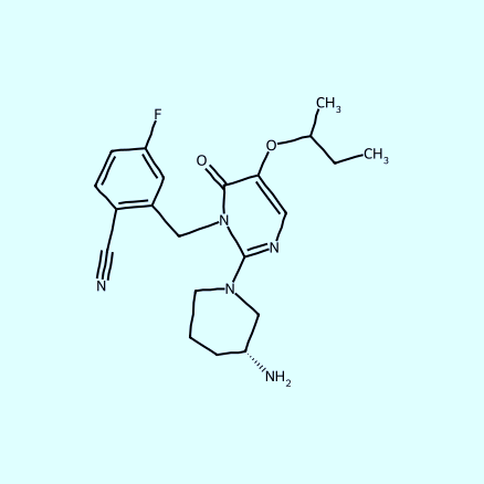 CCC(C)Oc1cnc(N2CCC[C@@H](N)C2)n(Cc2cc(F)ccc2C#N)c1=O